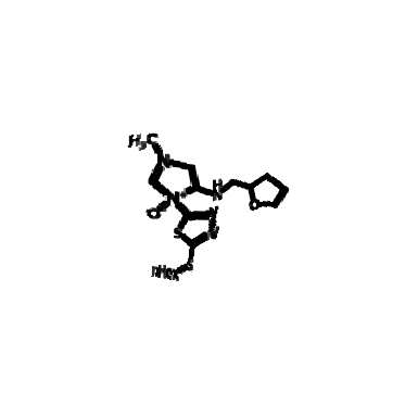 CCCCCCSc1nnc([N+]2([O-])CN(C)CC2NCC2CCCO2)s1